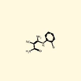 N#C/C(C(N)=O)=C(\N)Nc1ccccc1Br